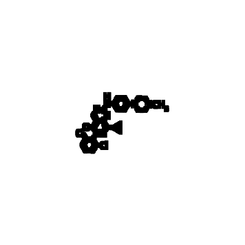 CN1CCN(c2ccc(Nc3ncc4c(=O)n(-c5c(Cl)cccc5Cl)nc(C5CC5)c4n3)cc2)CC1